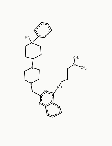 CN(C)CCCNc1nc(CN2CCN(C3CCC(C#N)(c4ccccc4)CC3)CC2)nc2ccccc12